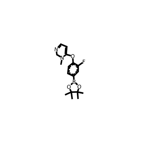 CN1CN=CC=C1Oc1ccc(B2OC(C)(C)C(C)(C)O2)cc1F